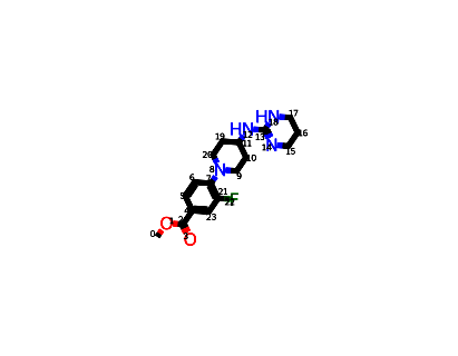 COC(=O)c1ccc(N2CCC(NC3=NCCCN3)CC2)c(F)c1